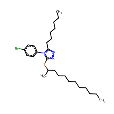 CCCCCCCCCCC(C)Sc1nnc(CCCCCCC)n1-c1ccc(Br)cc1